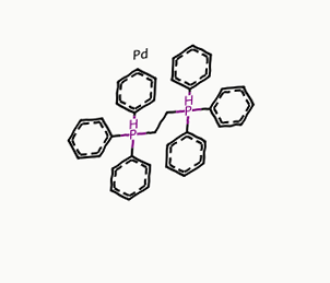 [Pd].c1ccc([PH](CC[PH](c2ccccc2)(c2ccccc2)c2ccccc2)(c2ccccc2)c2ccccc2)cc1